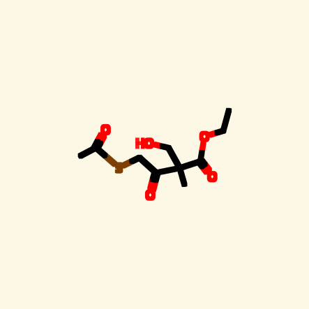 CCOC(=O)C(C)(CO)C(=O)CSC(C)=O